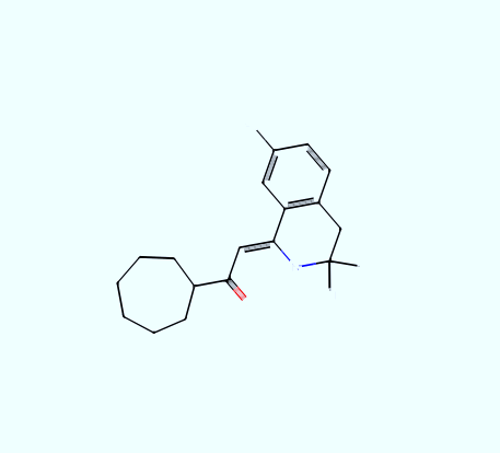 CC1(C)Cc2ccc(C(C)(C)C)cc2C(=CC(=O)C2CCCCCC2)N1